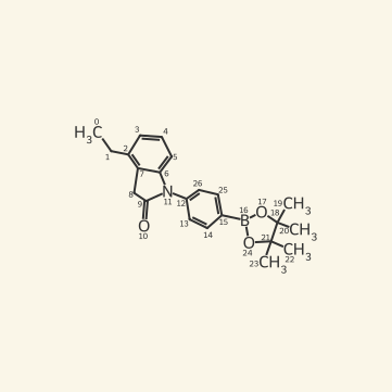 CCc1cccc2c1CC(=O)N2c1ccc(B2OC(C)(C)C(C)(C)O2)cc1